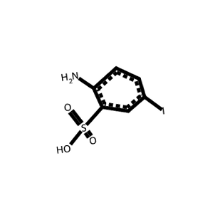 Nc1ccc(I)cc1S(=O)(=O)O